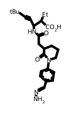 CCC(C(=O)O)C(C#CC(C)(C)C)NC(=O)CC1CCCN(c2ccc(C=NN)cc2)C1=O